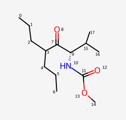 CCCC(CCC)C(=O)[C@@H](NC(=O)OC)C(C)C